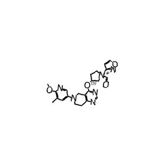 COc1ncc(N2CCc3ncnc(O[C@H]4CC[N+](C=O)(c5ccon5)C4)c3C2)cc1C